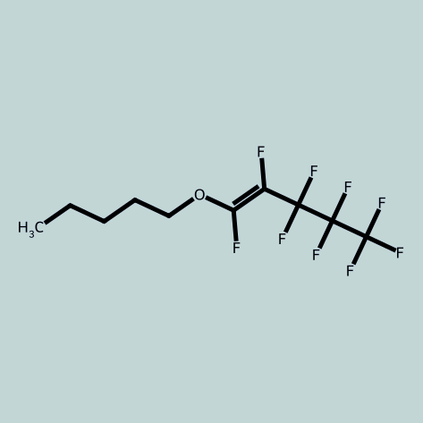 CCCCCOC(F)=C(F)C(F)(F)C(F)(F)C(F)(F)F